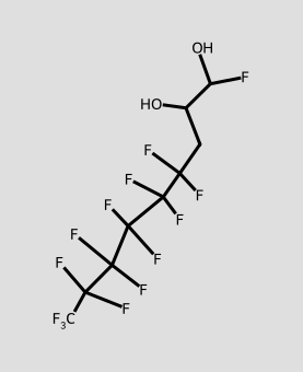 OC(F)C(O)CC(F)(F)C(F)(F)C(F)(F)C(F)(F)C(F)(F)C(F)(F)F